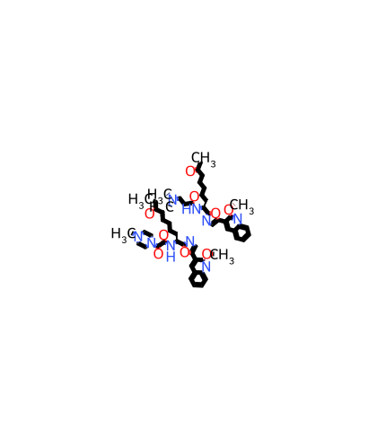 CCC(=O)CCCCC[C@H](NC(=O)C(=O)N1CCN(C)CC1)c1ncc(-c2cc3ccccc3nc2OC)o1.CCC(=O)CCCCC[C@H](NC(=O)CCN(C)C)c1ncc(-c2cc3ccccc3nc2OC)o1